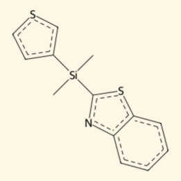 C[Si](C)(c1ccsc1)c1nc2ccccc2s1